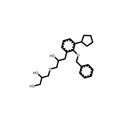 OCC(O)CSCC(O)Cc1cccc(C2CCCC2)c1OCc1ccccc1